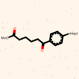 CCCCCCCc1ccc(C(=O)CCCCC(=O)OC)cc1